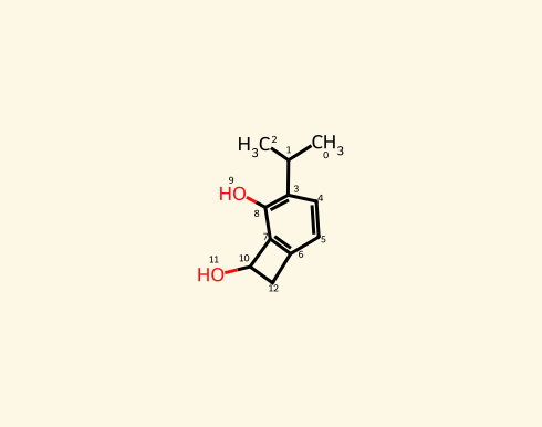 CC(C)c1ccc2c(c1O)C(O)C2